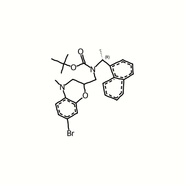 C[C@H](c1cccc2ccccc12)N(CC1CN(C)c2ccc(Br)cc2O1)C(=O)OC(C)(C)C